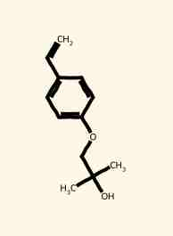 C=Cc1ccc(OCC(C)(C)O)cc1